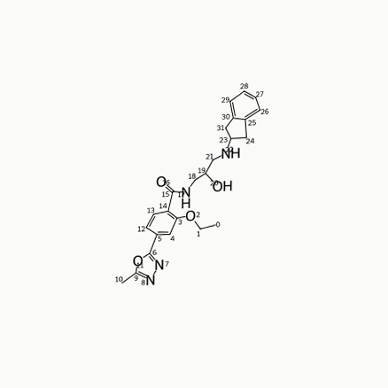 CCOc1cc(-c2nnc(C)o2)ccc1C(=O)NCC(O)CNC1Cc2ccccc2C1